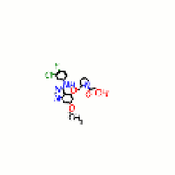 CCOc1cc(OCC2CCCN2C(=O)CO)c2c(Nc3ccc(F)c(Cl)c3)ncnc2c1